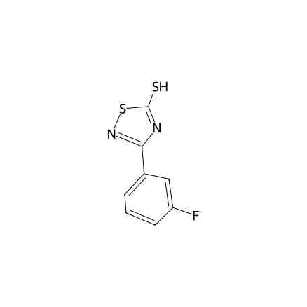 Fc1cccc(-c2nsc(S)n2)c1